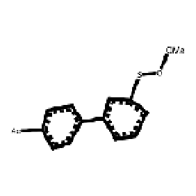 COOSc1cccc(-c2ccc(C(C)=O)cc2)c1